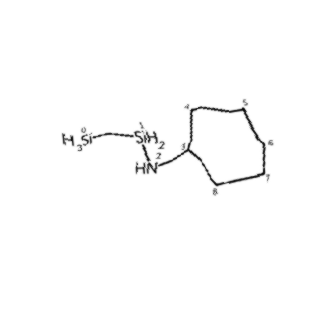 [SiH3][SiH2]NC1CCCCC1